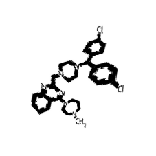 CN1CCCN(c2nc(CN3CCN(C(c4ccc(Cl)cc4)c4ccc(Cl)cc4)CC3)nc3ccccc23)CC1